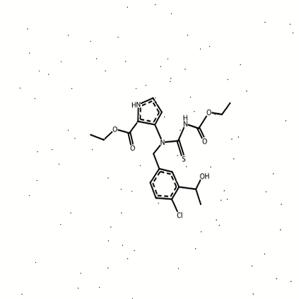 CCOC(=O)NC(=S)N(Cc1ccc(Cl)c(C(C)O)c1)c1cc[nH]c1C(=O)OCC